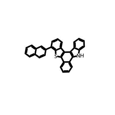 c1ccc2cc(-c3cccc4c3sc3c5ccccc5c5[nH]c6ccccc6c5c43)ccc2c1